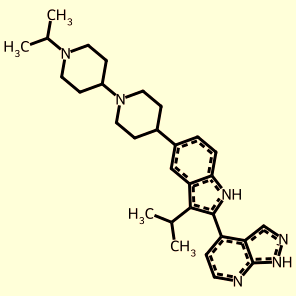 CC(C)c1c(-c2ccnc3[nH]ncc23)[nH]c2ccc(C3CCN(C4CCN(C(C)C)CC4)CC3)cc12